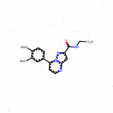 COc1ccc(-c2ccnc3cc(C(=O)NCC(=O)O)nn23)cc1OC